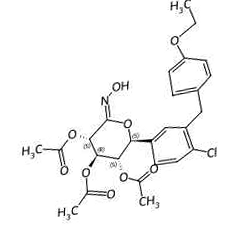 CCOc1ccc(Cc2cc([C@@H]3OC(=NO)[C@@H](OC(C)=O)[C@H](OC(C)=O)[C@H]3OC(C)=O)ccc2Cl)cc1